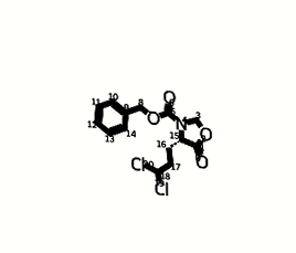 O=C1OCN(C(=O)OCc2ccccc2)[C@H]1CCC(Cl)Cl